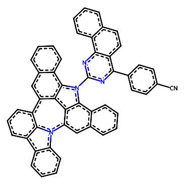 N#Cc1ccc(-c2nc(-n3c4c5ccccc5cc5c6cccc7c8ccccc8n(c8cc9ccccc9c3c8c54)c67)nc3c2ccc2ccccc23)cc1